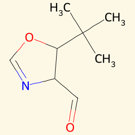 CC(C)(C)C1OC=NC1C=O